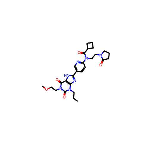 CCCn1c(=O)n(CCOC)c(=O)c2[nH]c(-c3ccc(N(CCN4CCCC4=O)C(=O)C4CCC4)nc3)nc21